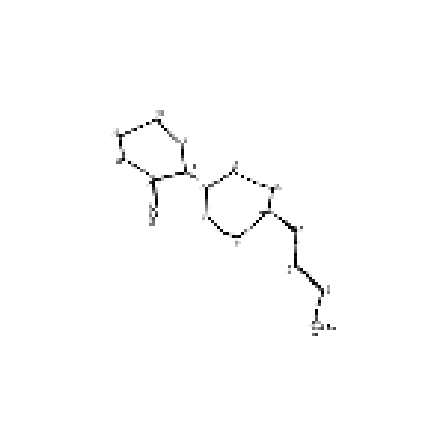 CCCC[C@H]1CC[C@H](C2CCCCC2=O)CC1